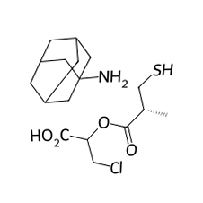 C[C@@H](CS)C(=O)OC(CCl)C(=O)O.NC12CC3CC(CC(C3)C1)C2